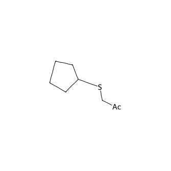 CC(=O)CSC1CCCC1